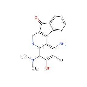 CCc1c(O)c(N(C)C)c2ncc3c(c2c1N)-c1ccccc1C3=O